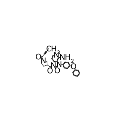 CC#CC(=O)N1CCC(C(=O)n2c(=O)n(-c3ccc(Oc4ccccc4)cc3)c3c(N)nccc32)C1